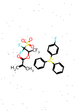 C=C(C)C(=O)OC(C(F)(F)F)C(F)(F)S(=O)(=O)[O-].Fc1ccc([S+](c2ccccc2)c2ccccc2)cc1